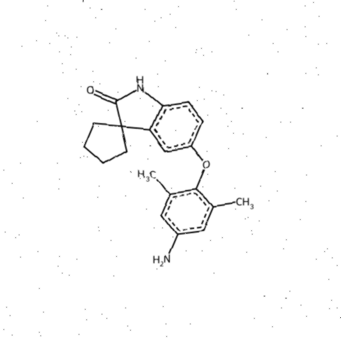 Cc1cc(N)cc(C)c1Oc1ccc2c(c1)C1(CCCC1)C(=O)N2